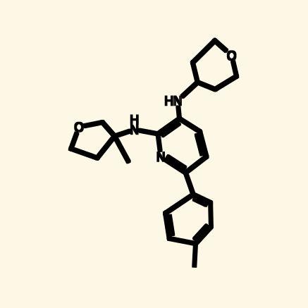 Cc1ccc(-c2ccc(NC3CCOCC3)c(NC3(C)CCOC3)n2)cc1